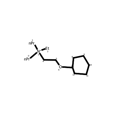 CCC[N+](CC)(CCC)CCOC1CCCCC1